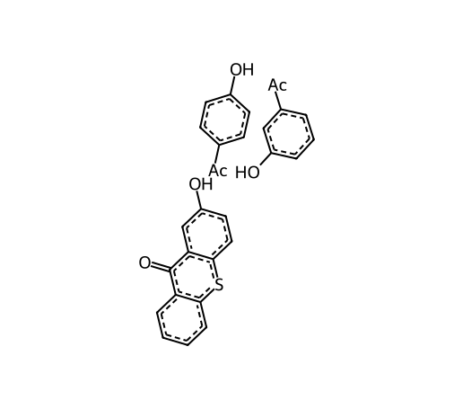 CC(=O)c1ccc(O)cc1.CC(=O)c1cccc(O)c1.O=c1c2ccccc2sc2ccc(O)cc12